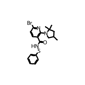 CC1CN(c2nc(Br)ccc2C(=O)NSc2ccccc2)C(C)(C)C1